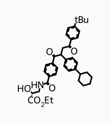 CCOC(=O)[C@H](O)CNC(=O)c1ccc(C(=O)C(CC(=O)c2ccc(C(C)(C)C)cc2)c2ccc(C3CCCCC3)cc2)cc1